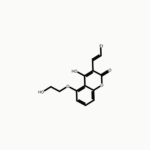 CCC=Cc1c(O)c2c(OCCO)cccc2oc1=O